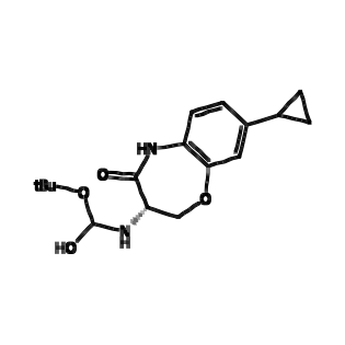 CC(C)(C)OC(O)N[C@H]1COc2cc(C3CC3)ccc2NC1=O